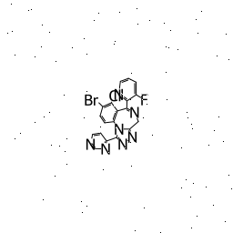 Fc1cccnc1C1=NCc2nnc(-c3ccncn3)n2-c2ccc(Br)c(Cl)c21